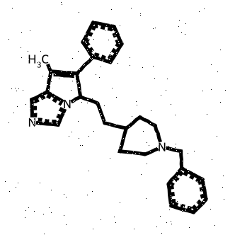 CC1=C(c2ccccc2)C(CCC2CCN(Cc3ccccc3)CC2)n2cncc21